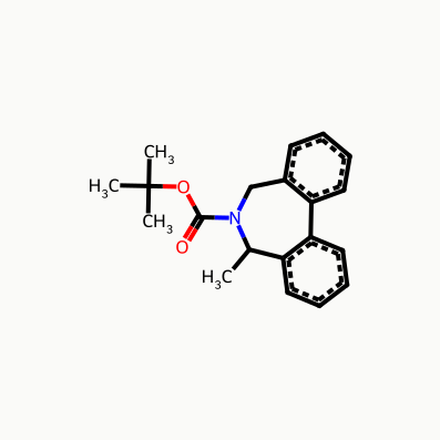 CC1c2ccccc2-c2ccccc2CN1C(=O)OC(C)(C)C